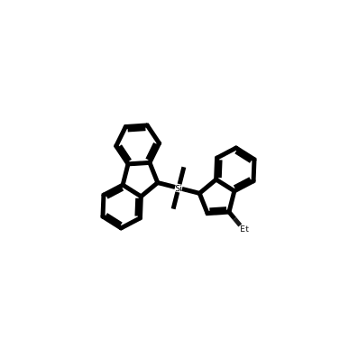 CCC1=CC([Si](C)(C)C2c3ccccc3-c3ccccc32)c2ccccc21